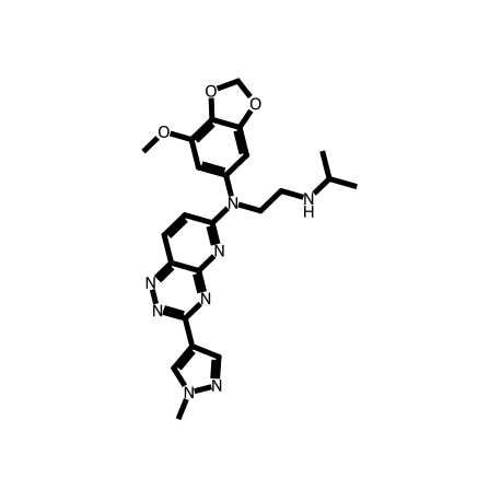 COc1cc(N(CCNC(C)C)c2ccc3nnc(-c4cnn(C)c4)nc3n2)cc2c1OCO2